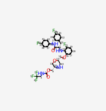 O=C(NCC(F)(F)F)OC[C@@H]1CO[C@H](COc2cccc(F)c2N[C@@H](Cc2ccc(F)cc2)C(=O)Nc2ccc(F)cc2)CN1